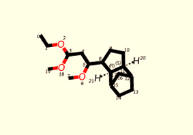 CCOC(CC(OC)C1CC[C@H]2C3CCC(C3)[C@@H]12)OC